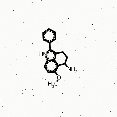 COc1ccc2[nH]c(-c3ccccc3)c3c2c1C(N)CC3